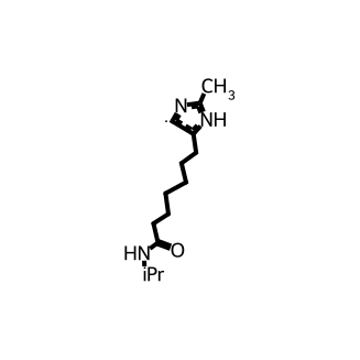 Cc1n[c]c(CCCCCCC(=O)NC(C)C)[nH]1